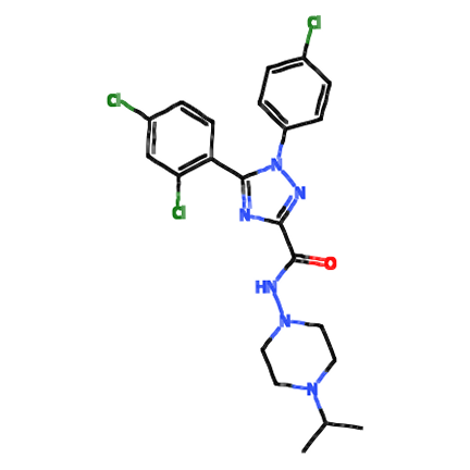 CC(C)N1CCN(NC(=O)c2nc(-c3ccc(Cl)cc3Cl)n(-c3ccc(Cl)cc3)n2)CC1